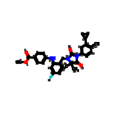 CC(C)(C)OC(=O)c1ccc(Nc2cc(F)ccc2CN2C(=O)N(c3ccc(C#N)c(C4CC4)c3)C(=O)C2(C)C)cc1